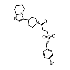 O=C(CCS(=O)(=O)C=Cc1ccc(Br)cc1)N1CCC(c2cnc3n2CCCC3)CC1